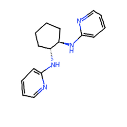 c1ccc(N[C@@H]2CCCC[C@H]2Nc2ccccn2)nc1